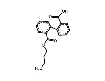 CCCCOC(=O)c1ccccc1-c1ccccc1C(=O)O